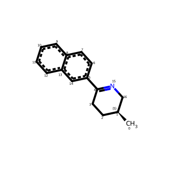 C[C@H]1CCC(c2ccc3ccccc3c2)=NC1